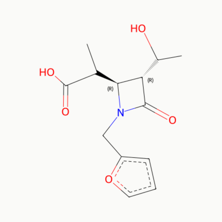 CC(O)[C@@H]1C(=O)N(Cc2ccco2)[C@H]1C(C)C(=O)O